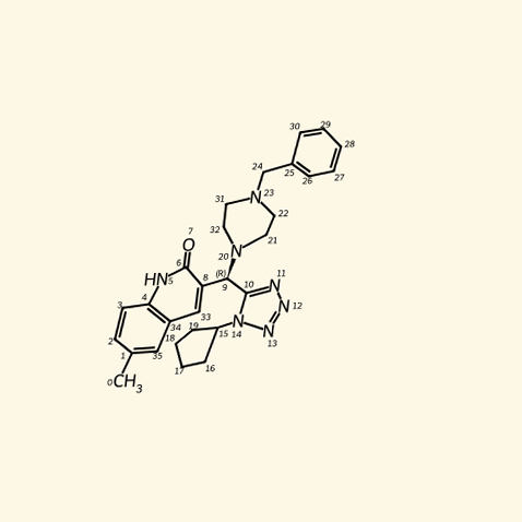 Cc1ccc2[nH]c(=O)c([C@H](c3nnnn3C3CCCC3)N3CCN(Cc4ccccc4)CC3)cc2c1